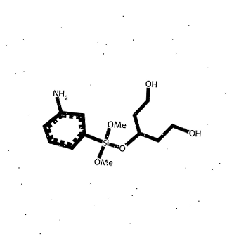 CO[Si](OC)(OC(CCO)CCO)c1cccc(N)c1